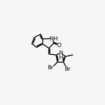 Cc1[nH]c(/C=C2\C(=O)Nc3ccccc32)c(Br)c1Br